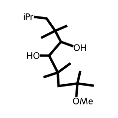 COC(C)(C)CC(C)(C)C(O)C(O)C(C)(C)CC(C)C